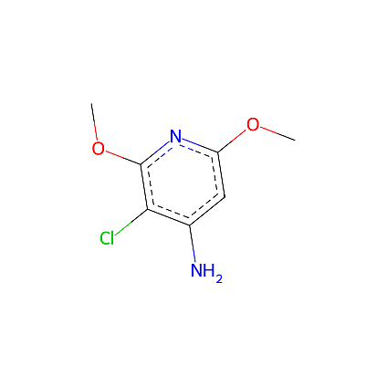 COc1cc(N)c(Cl)c(OC)n1